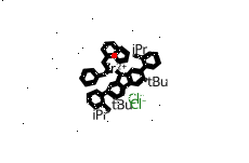 CC(C)Cc1ccccc1-c1cc2c(cc1C(C)(C)C)-c1cc(C(C)(C)C)c(-c3ccccc3CC(C)C)cc1[CH]2[Zr+2]([C]1=CC=CC1)=[C](Cc1ccccc1)Cc1ccccc1.[Cl-].[Cl-]